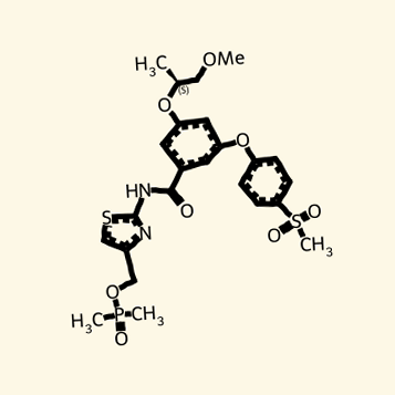 COC[C@H](C)Oc1cc(Oc2ccc(S(C)(=O)=O)cc2)cc(C(=O)Nc2nc(COP(C)(C)=O)cs2)c1